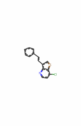 Clc1ccnc2c(/C=C/c3ccccc3)csc12